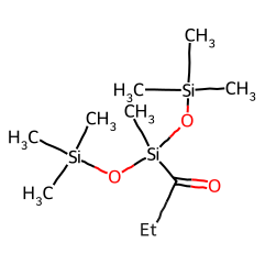 CCC(=O)[Si](C)(O[Si](C)(C)C)O[Si](C)(C)C